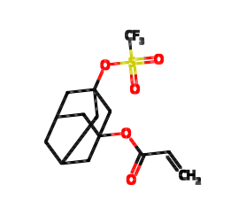 C=CC(=O)OC12CC3CC(C1)CC(OS(=O)(=O)C(F)(F)F)(C3)C2